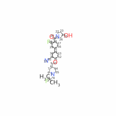 CC(C)(F)CN1CCC(COc2ccc(-c3ccc(C(=O)N4CCC(O)C4)c(F)c3)cc2C#N)CC1